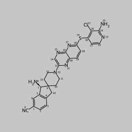 N#Cc1ccc2c(c1)[C@@H](N)C1(CCN(c3cnc4nc(Sc5ccnc(N)c5Cl)ccc4n3)CC1)C2